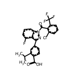 CC(C)c1cc(-c2nn(C(=O)c3c(Cl)cccc3C(F)(F)F)c3cccc(F)c23)ccc1C(=O)O